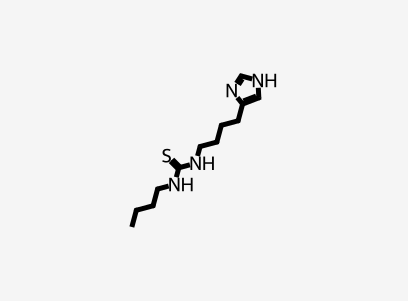 CCCCNC(=S)NCCCCc1c[nH]cn1